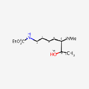 CCOC(=O)NCCCCC(NC)C(C)O